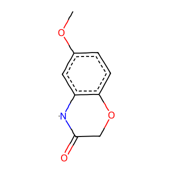 COc1ccc2c(c1)[N]C(=O)CO2